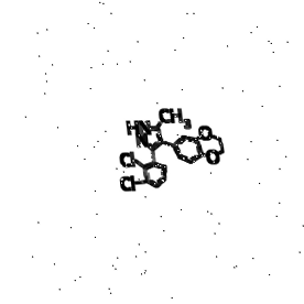 Cc1[nH]nc(-c2cccc(Cl)c2Cl)c1-c1ccc2c(c1)OCCO2